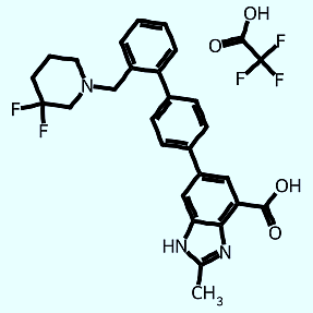 Cc1nc2c(C(=O)O)cc(-c3ccc(-c4ccccc4CN4CCCC(F)(F)C4)cc3)cc2[nH]1.O=C(O)C(F)(F)F